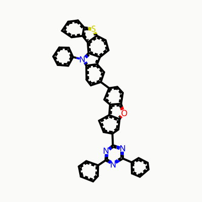 c1ccc(-c2nc(-c3ccccc3)nc(-c3ccc4c(c3)oc3ccc(-c5ccc6c(c5)c5ccc7sc8ccccc8c7c5n6-c5ccccc5)cc34)n2)cc1